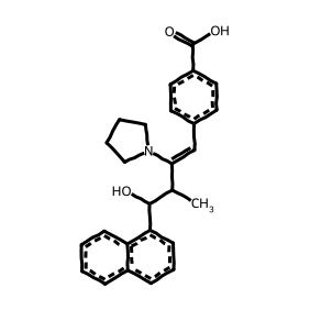 CC(C(=Cc1ccc(C(=O)O)cc1)N1CCCC1)C(O)c1cccc2ccccc12